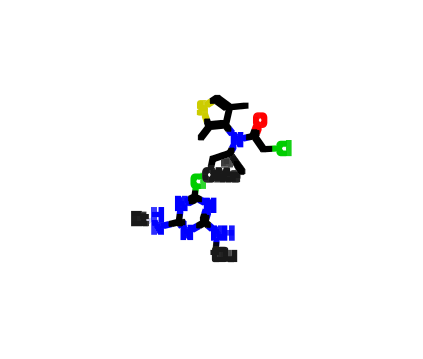 CCNc1nc(Cl)nc(NC(C)(C)C)n1.COC[C@H](C)N(C(=O)CCl)c1c(C)csc1C